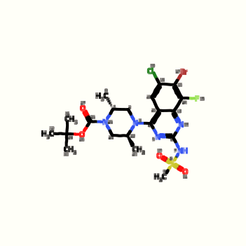 C[C@@H]1CN(c2nc(NS(C)(=O)=O)nc3c(F)c(Br)c(Cl)cc23)[C@@H](C)CN1C(=O)OC(C)(C)C